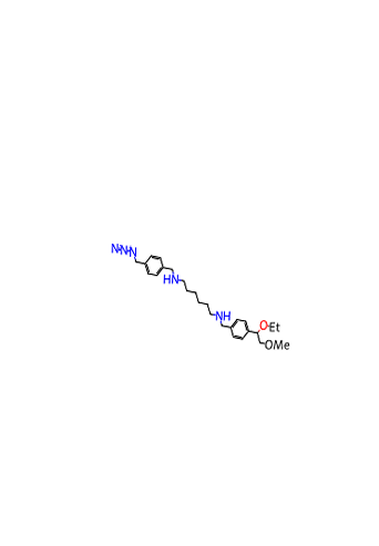 CCOC(COC)c1ccc(CNCCCCCCNCc2ccc(CN=[N+]=[N-])cc2)cc1